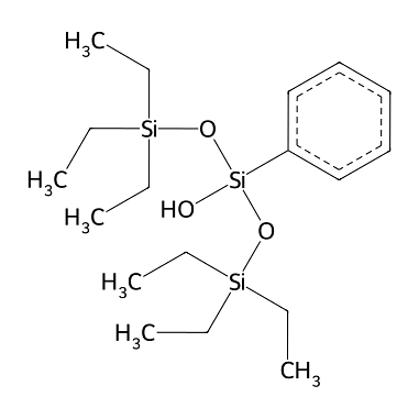 CC[Si](CC)(CC)O[Si](O)(O[Si](CC)(CC)CC)c1ccccc1